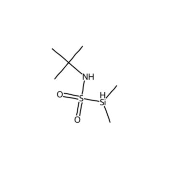 C[SiH](C)S(=O)(=O)NC(C)(C)C